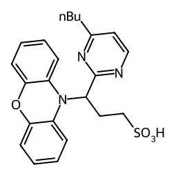 CCCCc1ccnc(C(CCS(=O)(=O)O)N2c3ccccc3Oc3ccccc32)n1